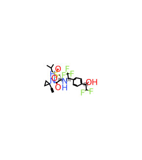 C#CC1(NC(=O)[C@H](CS(=O)(=O)CC(C)C)N[C@@H](c2ccc([C@@H](O)C(F)F)cc2)C(F)(F)F)CC1